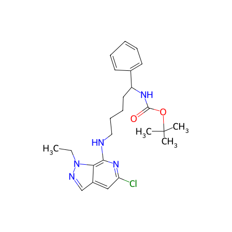 CCn1ncc2cc(Cl)nc(NCCCCC(NC(=O)OC(C)(C)C)c3ccccc3)c21